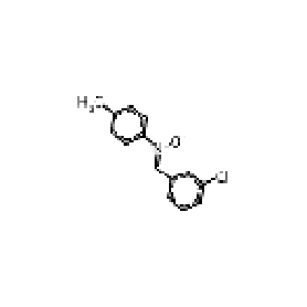 Cc1ccc([N+]([O-])=Cc2cccc(Cl)c2)cc1